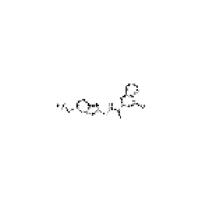 COc1ccc2nc(CNC(=O)c3cc(=O)n4ccccc4n3)cn2c1